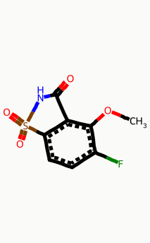 COc1c(F)ccc2c1C(=O)NS2(=O)=O